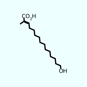 CC(=CCCCCCCCCCCCCO)C(=O)O